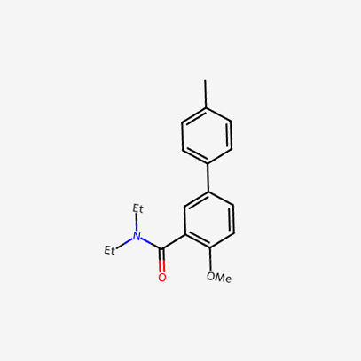 CCN(CC)C(=O)c1cc(-c2ccc(C)cc2)ccc1OC